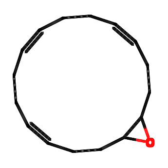 C1=CCCC=CCCC2OC2CCC=CCC1